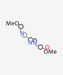 COC(=O)c1ccc(Cn2ccc3cc(C4CCN(Cc5cccc(OC)c5)CC4)cnc32)cc1